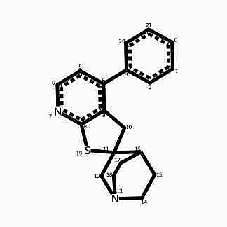 c1ccc(-c2ccnc3c2CC2(CN4CCC2CC4)S3)cc1